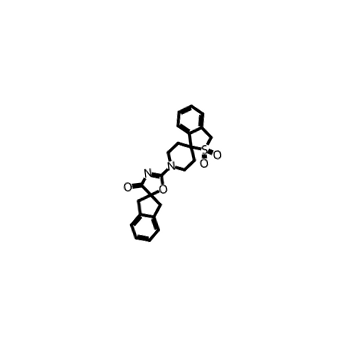 O=C1N=C(N2CCC3(CC2)c2ccccc2CS3(=O)=O)OC12Cc1ccccc1C2